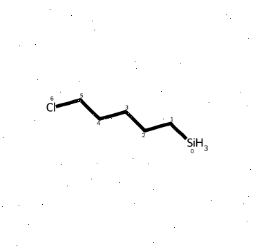 [SiH3]CCCCCCl